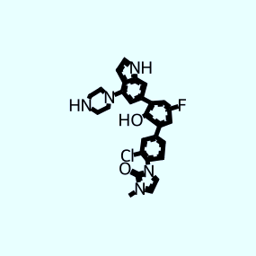 Cn1ccn(-c2ccc(-c3cc(F)cc(-c4cc(N5CCNCC5)c5cc[nH]c5c4)c3O)cc2Cl)c1=O